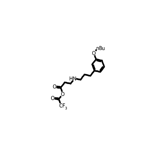 CCCCOc1cccc(CCCNCCC(=O)OC(=O)C(F)(F)F)c1